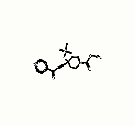 CC(C)(C)OC(=O)N1CCC(C#CC(=O)c2ccncc2)(O[Si](C)(C)C)CC1